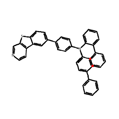 c1ccc(-c2ccc(N(c3ccc(-c4ccc5sc6cnccc6c5c4)cc3)c3ccccc3-c3ccccc3)cc2)cc1